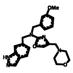 COc1cccc(CN(Cc2ccc3cn[nH]c3c2)c2nc(CN3CCOCC3)co2)c1